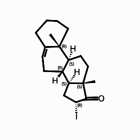 C[C@]12CCCCC1=CC[C@@H]1[C@@H]2CC[C@]2(C)C(=O)[C@H](I)C[C@@H]12